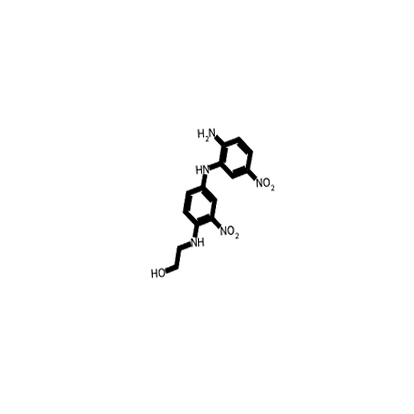 Nc1ccc([N+](=O)[O-])cc1Nc1ccc(NCCO)c([N+](=O)[O-])c1